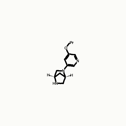 CC(C)Oc1cncc(N2C[C@H]3C[C@@H]2CN3)c1